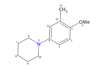 COc1ccc(N2CCCCC2)cc1C